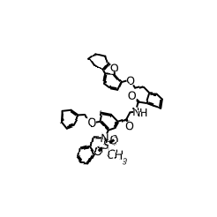 CS(=O)(=O)N(Cc1ccccc1)c1cc(C(=O)CNC(=O)c2ccccc2CCOc2cccc3c4c(oc23)CCCC4)ccc1OCc1ccccc1